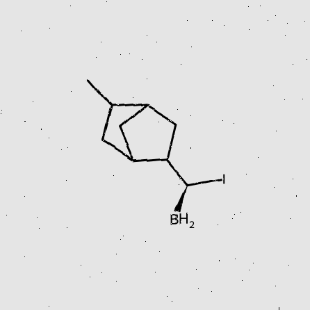 B[C@H](I)C1CC2CC1CC2C